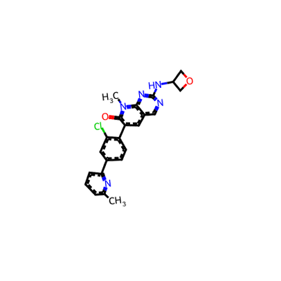 Cc1cccc(-c2ccc(-c3cc4cnc(NC5COC5)nc4n(C)c3=O)c(Cl)c2)n1